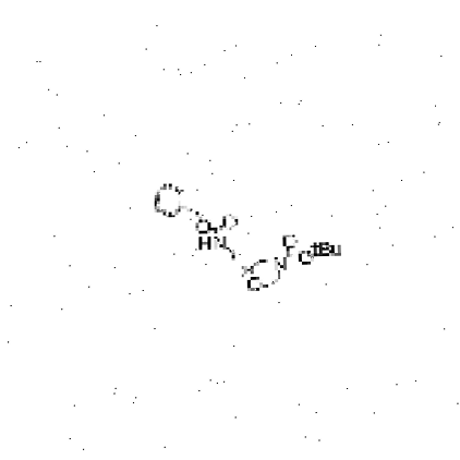 CC(C)(C)OC(=O)N1CCO[C@H](CCNC(=O)OCc2ccccc2)C1